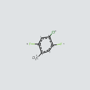 Fc1cc(C(Cl)(Cl)Cl)c(F)cc1Cl